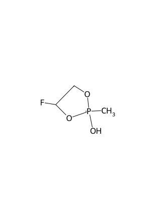 C[P]1(O)OCC(F)O1